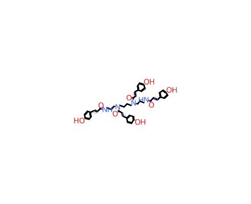 O=C(/C=C/c1ccc(O)cc1)NCCCN(CCCCN(CCCNC(=O)/C=C/c1ccc(O)cc1)C(=O)/C=C/c1ccc(O)cc1)C(=O)/C=C/c1ccc(O)cc1